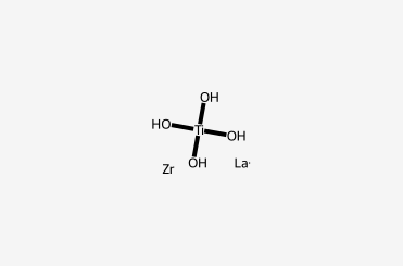 [La].[OH][Ti]([OH])([OH])[OH].[Zr]